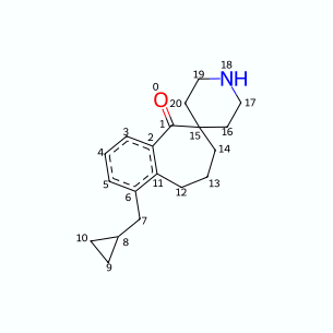 O=C1c2cccc(CC3CC3)c2CCCC12CCNCC2